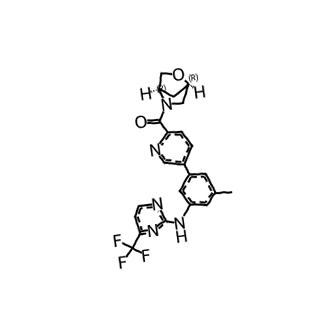 Cc1cc(Nc2nccc(C(F)(F)F)n2)cc(-c2ccc(C(=O)N3C[C@H]4C[C@@H]3CO4)nc2)c1